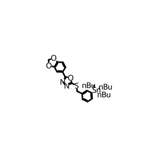 CCC[CH2][Sn]([CH2]CCC)([CH2]CCC)[c]1cccc(CSc2nnc(-c3ccc4c(c3)OCO4)o2)c1